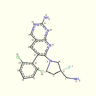 NC[C@@]1(F)CCN(c2nc3nc(N)ncc3cc2-c2c(Cl)cccc2Cl)C1